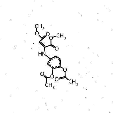 COC(=O)C=C(Nc1ccc(OC(C)=O)c(OC(C)=O)c1)C(=O)OC